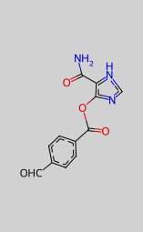 NC(=O)c1[nH]cnc1OC(=O)c1ccc(C=O)cc1